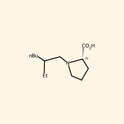 CCCCC(CC)CN1CCC[C@H]1C(=O)O